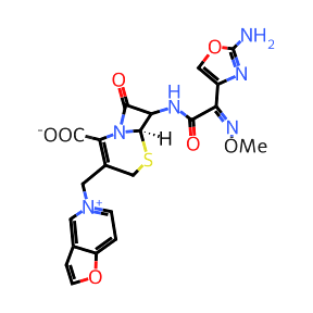 CO/N=C(\C(=O)NC1C(=O)N2C(C(=O)[O-])=C(C[n+]3ccc4occc4c3)CS[C@H]12)c1coc(N)n1